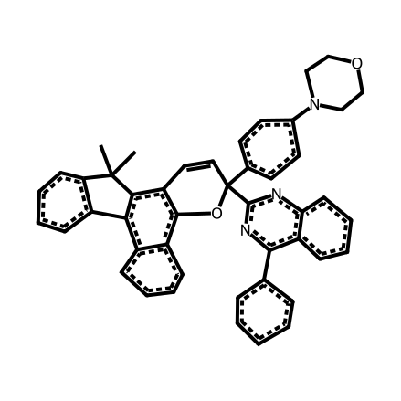 CC1(C)c2ccccc2-c2c1c1c(c3ccccc23)OC(c2ccc(N3CCOCC3)cc2)(c2nc(-c3ccccc3)c3ccccc3n2)C=C1